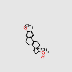 COc1ccc2c(c1)CCC1=C2CC[C@@]2(C)C1=CCC2O